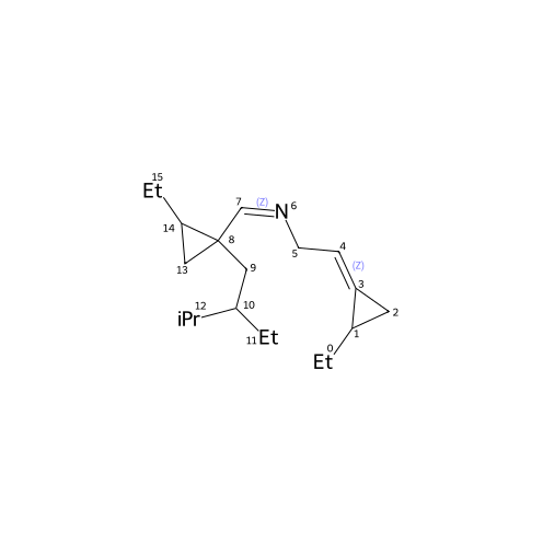 CCC1C/C1=C/C/N=C\C1(CC(CC)C(C)C)CC1CC